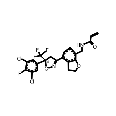 C=CC(=O)NCc1ccc(C2=NO[C@@](c3cc(Cl)c(F)c(Cl)c3)(C(F)(F)F)C2)c2c1OCC2